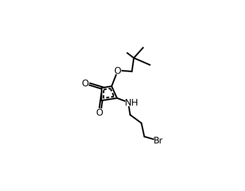 CC(C)(C)COc1c(NCCCBr)c(=O)c1=O